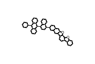 c1ccc(-c2c3ccccc3c(-c3ccc(-c4ccc5cc6oc7c(ccc8c9ccccc9oc87)c6cc5c4)c4ccccc34)c3ccccc23)cc1